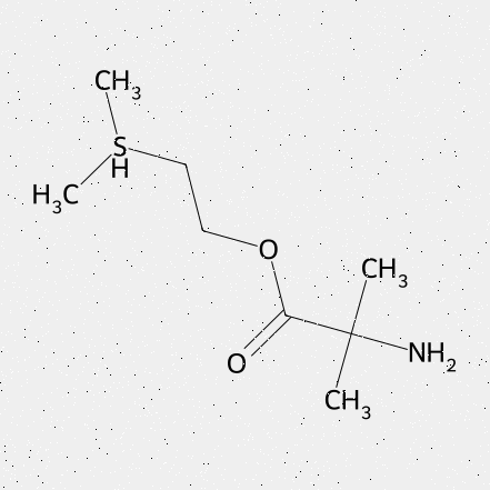 C[SH](C)CCOC(=O)C(C)(C)N